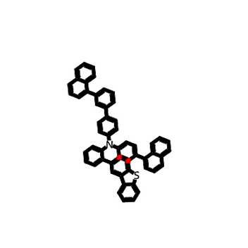 c1cc(-c2ccc(N(c3ccc(-c4cccc5ccccc45)cc3)c3ccccc3-c3ccc4sc5ccccc5c4c3)cc2)cc(-c2cccc3ccccc23)c1